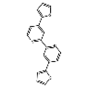 c1csc(-c2ccnc(-c3cc(-c4cccs4)ccn3)c2)c1